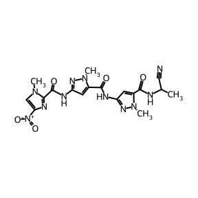 CC(C#N)NC(=O)c1cc(NC(=O)c2cc(NC(=O)c3nc([N+](=O)[O-])cn3C)nn2C)nn1C